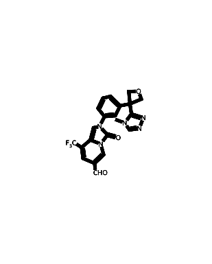 Cn1cnnc1C1(c2cccc(-n3cc4c(C(F)(F)F)cc(C=O)cn4c3=O)c2)COC1